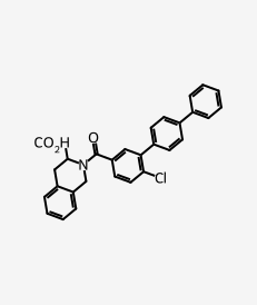 O=C(O)C1Cc2ccccc2CN1C(=O)c1ccc(Cl)c(-c2ccc(-c3ccccc3)cc2)c1